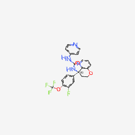 O=C(Nc1ccncc1)N[C@]1(c2ccc(OC(F)(F)F)c(F)c2)CCOc2cccnc21